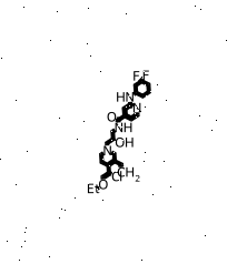 C=CC1=C(/C(Cl)=C/OCC)CCN(C[C@@H](O)CNC(=O)c2ccnc(NC3CCCC(F)(F)C3)c2)C1